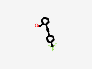 O=Cc1ccccc1C#Cc1ccc(C(F)(F)F)cc1